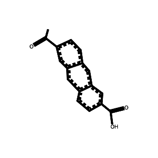 CC(=O)c1ccc2cc3cc(C(=O)O)ccc3cc2c1